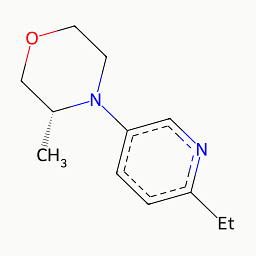 CCc1ccc(N2CCOC[C@H]2C)cn1